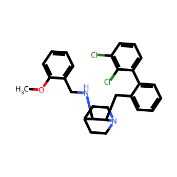 COc1ccccc1CNC1C2CCN(CC2)C1Cc1ccccc1-c1cccc(Cl)c1Cl